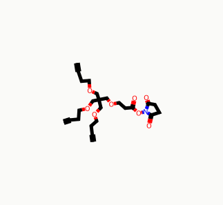 C#CCCOCC(COCCC#C)(COCCC#C)COCCC(=O)ON1C(=O)CCC1=O